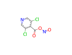 O=NOC(=O)c1c(Cl)cncc1Cl